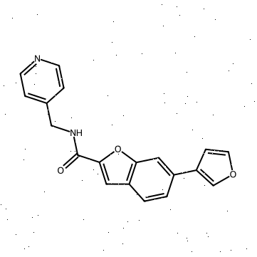 O=C(NCc1ccncc1)c1cc2ccc(-c3ccoc3)cc2o1